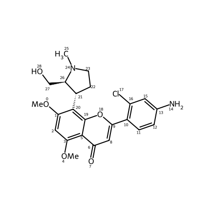 COc1cc(OC)c2c(=O)cc(-c3ccc(N)cc3Cl)oc2c1[C@H]1CCN(C)[C@@H]1CO